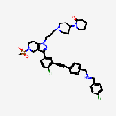 CS(=O)(=O)N1CCc2c(c(-c3ccc(Cl)c(C#Cc4ccc(CNCc5ccc(Cl)cc5)cc4)c3)nn2CCCN2CCC(N3CCCCC3=O)CC2)C1